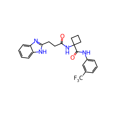 O=C(CCc1nc2ccccc2[nH]1)NC1(C(=O)Nc2cccc(C(F)(F)F)c2)CCC1